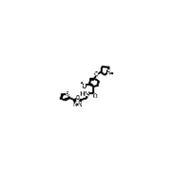 COc1cc(OC2CCN(C)C2)ccc1C(=O)NCc1nnc(-c2cccs2)o1